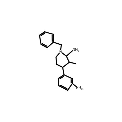 CC1C(c2cccc(N)c2)CCN(Cc2ccccc2)C1N